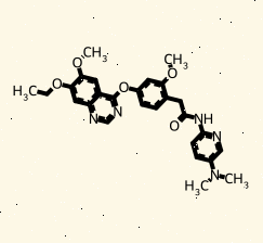 CCOc1cc2ncnc(Oc3ccc(CC(=O)Nc4ccc(N(C)C)cn4)c(OC)c3)c2cc1OC